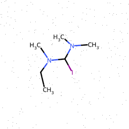 CCN(C)C(I)N(C)C